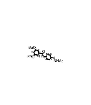 CC(=O)NCc1ccc(NC(=O)c2cc(OCC(C)C)cc(OC(C)C)c2)nc1